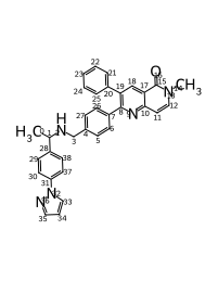 CC(NCc1ccc(-c2nc3ccn(C)c(=O)c3cc2-c2ccccc2)cc1)c1ccc(-n2cccn2)cc1